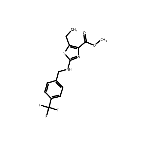 CCc1sc(NCc2ccc(C(F)(F)F)cc2)nc1C(=O)OC